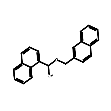 OC(OCc1ccc2ccccc2c1)c1cccc2ccccc12